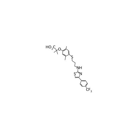 Cc1cc(SCCCNc2nc(-c3ccc(C(F)(F)F)cc3)cs2)c(C)cc1OC(C)(C)C(=O)O